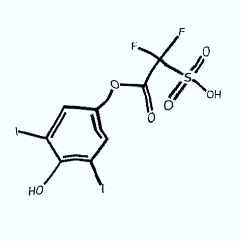 O=C(Oc1cc(I)c(O)c(I)c1)C(F)(F)S(=O)(=O)O